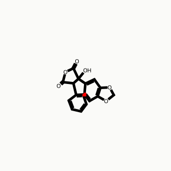 O=C1OC(=O)C(O)(c2ccc3c(c2)OCO3)C1c1ccccc1